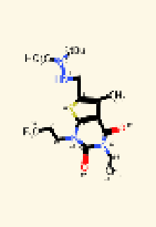 Cc1c(CNN(C(=O)O)C(C)(C)C)sc2c1c(=O)n(CC(F)(F)F)c(=O)n2CCC(F)(F)F